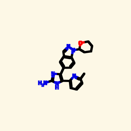 Cc1cccc(-c2[nH]c(N)nc2-c2ccc3c(cnn3C3CCCCO3)c2)n1